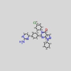 Nc1nccc(-c2ccc(-c3nc4c(cnn4-c4ccccc4)c(=O)n3-c3ccc(Cl)cc3)cc2)n1